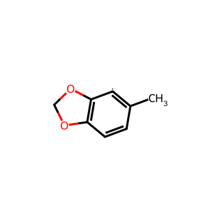 Cc1[c]c2c(cc1)OCO2